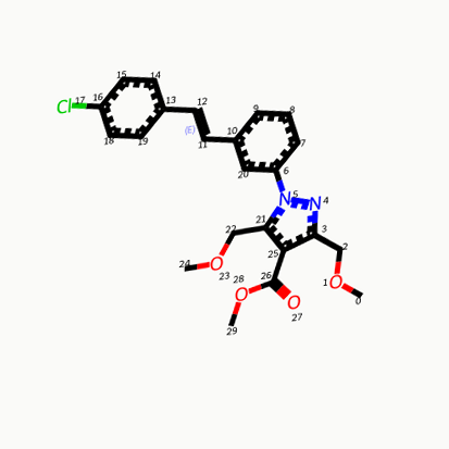 COCc1nn(-c2cccc(/C=C/c3ccc(Cl)cc3)c2)c(COC)c1C(=O)OC